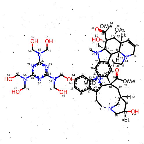 CC[C@]1(O)C[C@@H]2C[N@@](CCc3c([nH]c4ccccc34)[C@@](C(=O)OC)(c3cc4c(cc3OC)N(C)[C@H]3[C@@](O)(C(=O)OC)[C@H](OC(C)=O)[C@]5(CC)C=CCN6CC[C@]43[C@@H]65)C2)C1.OCN(CO)c1nc(N(CO)CO)nc(N(CO)CO)n1